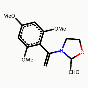 C=C(c1c(OC)cc(OC)cc1OC)N1CCOC1C=O